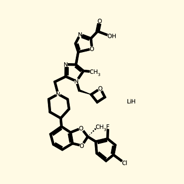 Cc1c(-c2cnc(C(=O)O)o2)nc(CN2CCC(c3cccc4c3O[C@@](C)(c3ccc(Cl)cc3F)O4)CC2)n1C[C@@H]1CCO1.[LiH]